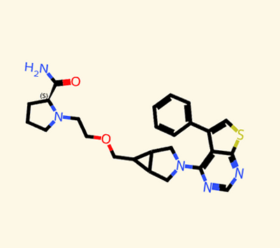 NC(=O)[C@@H]1CCCN1CCOCC1C2CN(c3ncnc4scc(-c5ccccc5)c34)CC12